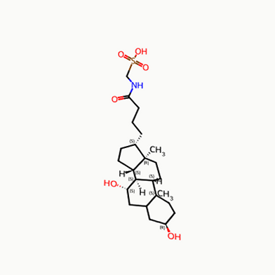 C[C@]12CC[C@H]3[C@@H]([C@@H](O)CC4C[C@H](O)CC[C@@]43C)[C@@H]1CC[C@@H]2CCCC(=O)NCS(=O)(=O)O